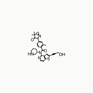 Cc1cc(C2=NOC(C)(C)C2=O)ccc1C(=O)N(c1nccc2sc(C#CCO)cc12)[C@@H]1CCCNC1